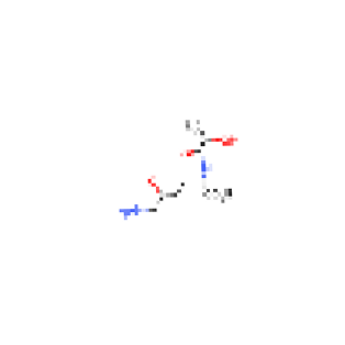 [N-]=[N+]=CC(=O)CC[C@H](NC(=O)[C@H](O)C(F)(F)F)C(=O)O